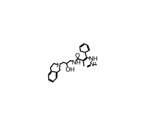 C=[N+](C)N/C(=C(\C)C(=O)NCC(O)CN1CCc2ccccc2C1)C1C=CC=CC1